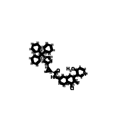 Cc1ccncc1-c1cc2cc(NC(=O)[C@@H]3C[C@H]3c3cn(C(c4ccccc4)(c4ccccc4)c4ccccc4)cn3)ncc2c(Cl)c1F